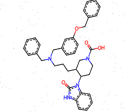 O=C(O)N1CCC(n2c(=O)[nH]c3ccccc32)C(CCCN(Cc2ccccc2)Cc2cccc(OCc3ccccc3)c2)C1